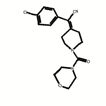 N#CC(=C1CCN(C(=O)N2CCOCC2)CC1)c1ccc(Cl)cc1